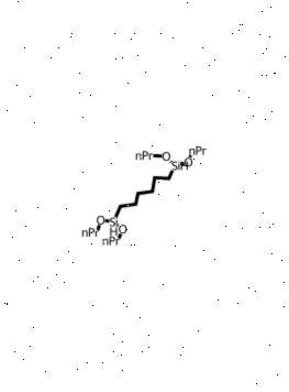 CCCO[SiH](CCCCCC[SiH](OCCC)OCCC)OCCC